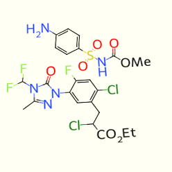 CCOC(=O)C(Cl)Cc1cc(-n2nc(C)n(C(F)F)c2=O)c(F)cc1Cl.COC(=O)NS(=O)(=O)c1ccc(N)cc1